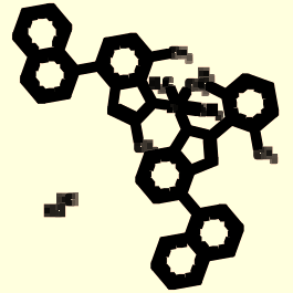 CC1=Cc2c(-c3cccc4ccccc34)ccc(C)c2[CH]1[Zr]([CH3])([CH3])(=[SiH2])[CH]1C(c2c(C)cccc2C)=Cc2c(-c3cccc4ccccc34)cccc21.Cl.Cl